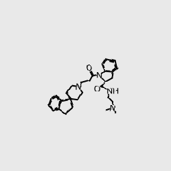 CN(C)CCNC(=O)[C@@H]1Cc2ccccc2N1C(=O)CCN1CCC2(CCc3ccccc32)CC1